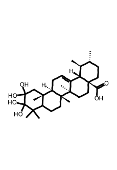 C[C@H]1[C@H](C)CC[C@]2(C(=O)O)CC[C@]3(C)C(=CC[C@@H]4[C@@]5(C)CC(O)(O)C(O)(O)C(C)(C)C5CC[C@]43C)[C@H]12